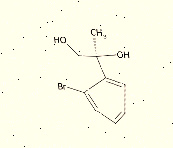 C[C@@](O)(CO)c1ccccc1Br